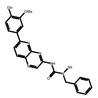 COc1cc(-c2ccc3ncc(NC(=O)N(S)Cc4ccccc4)nc3n2)ccc1O